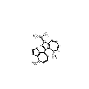 CC1C=CC=CC2=C1C=CC2.CC1C=CC=CC2=C1C=CC2[SiH](C)C